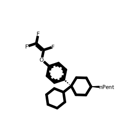 CCCCC[C@H]1CC[C@@](c2ccc(OC(F)=C(F)F)cc2)(C2CCCCC2)CC1